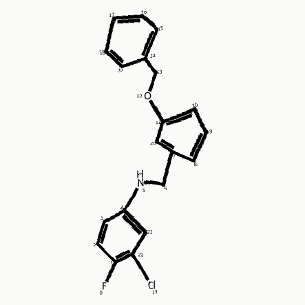 Fc1ccc(NCc2cccc(OCc3ccccc3)c2)cc1Cl